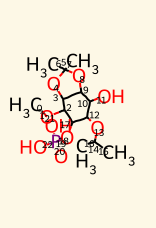 COC1C2OC(C)(C)OC2C(O)C(OC(C)C)C1OP(=O)(O)O